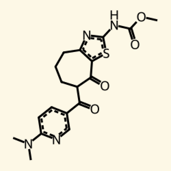 COC(=O)Nc1nc2c(s1)C(=O)C(C(=O)c1ccc(N(C)C)nc1)CCC2